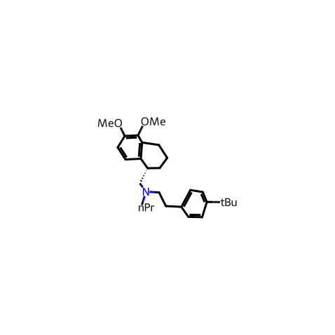 CCCN(CCc1ccc(C(C)(C)C)cc1)C[C@H]1CCCc2c1ccc(OC)c2OC